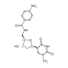 Cc1cn([C@H]2C[C@H](O)[C@@H](CNC(=O)c3ccc([N+](=O)[O-])cc3)O2)c(=O)[nH]c1=O